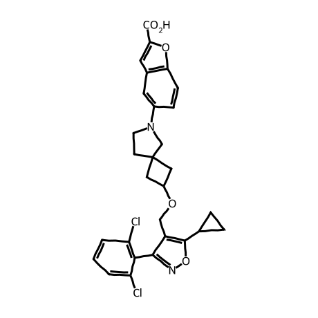 O=C(O)c1cc2cc(N3CCC4(CC(OCc5c(-c6c(Cl)cccc6Cl)noc5C5CC5)C4)C3)ccc2o1